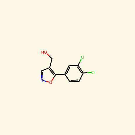 OCc1cnoc1-c1ccc(Cl)c(Cl)c1